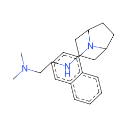 CN(C)CCNC1CC2CCC(C1)N2c1cccc2ccccc12